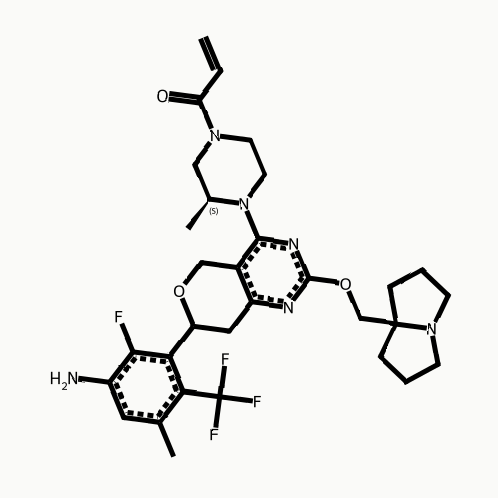 C=CC(=O)N1CCN(c2nc(OCC34CCCN3CCC4)nc3c2COC(c2c(F)c(N)cc(C)c2C(F)(F)F)C3)[C@@H](C)C1